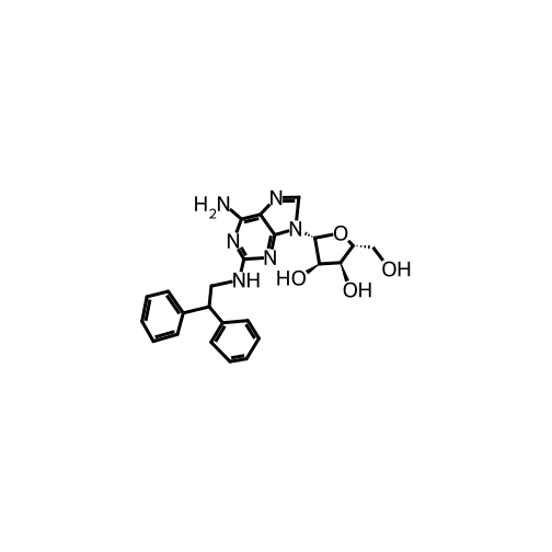 Nc1nc(NCC(c2ccccc2)c2ccccc2)nc2c1ncn2[C@@H]1O[C@H](CO)[C@@H](O)[C@H]1O